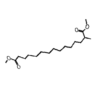 COC(=O)CCCCCCCCCCCCC(C)C(=O)OC